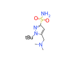 CN(C)Cc1cc(S(N)(=O)=O)nn1C(C)(C)C